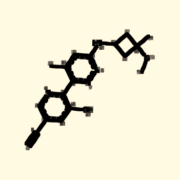 C#Cc1cnc(-c2nnc(NC3CC(C)(OC)C3)cc2C)c(O)c1